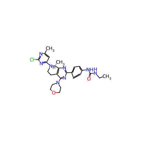 CCNC(=O)Nc1ccc(-c2nc3c(c(N4CCOCC4)n2)CCN(c2cc(C)nc(Cl)n2)[C@@H]3C)cc1